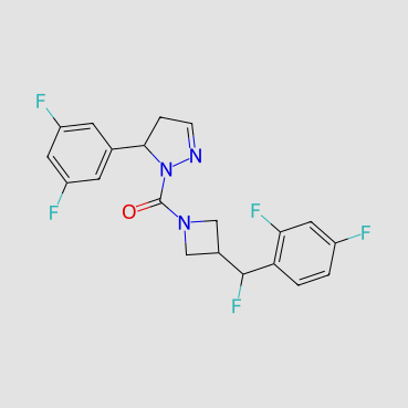 O=C(N1CC(C(F)c2ccc(F)cc2F)C1)N1N=CCC1c1cc(F)cc(F)c1